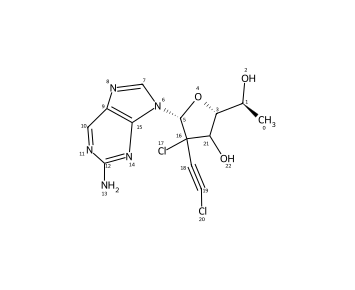 C[C@H](O)[C@H]1O[C@@H](n2cnc3cnc(N)nc32)C(Cl)(C#CCl)C1O